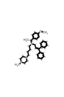 COc1ccc([C@@H](C)N(CC=C(c2ccccc2)c2ccccc2)CCCCN2CCN(C)CC2)cc1